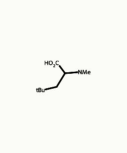 CNC(CC(C)(C)C)C(=O)O